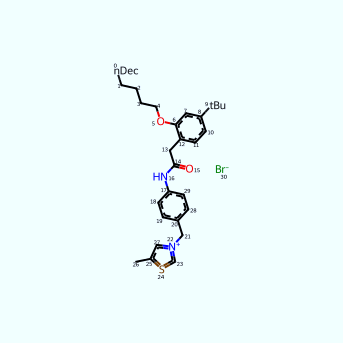 CCCCCCCCCCCCCCOc1cc(C(C)(C)C)ccc1CC(=O)Nc1ccc(C[n+]2csc(C)c2)cc1.[Br-]